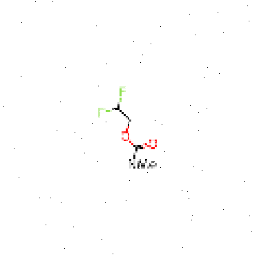 CNC(=O)OCC(F)F